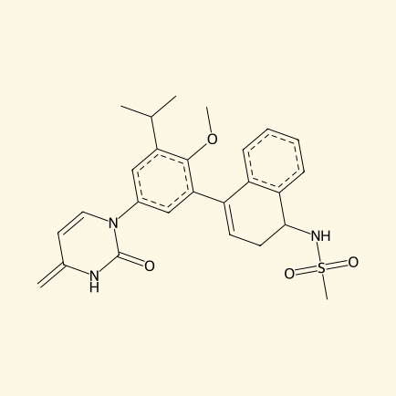 C=C1C=CN(c2cc(C3=CCC(NS(C)(=O)=O)c4ccccc43)c(OC)c(C(C)C)c2)C(=O)N1